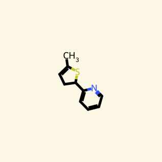 CC1=CCC(c2ccccn2)S1